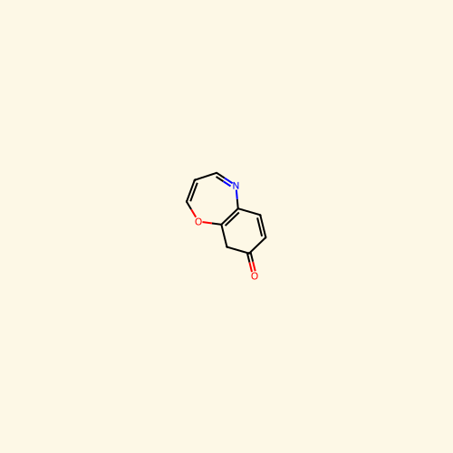 O=C1C=CC2=C(C1)OC=CC=N2